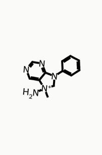 C[N+]1(N)CN(c2ccccc2)c2ncncc21